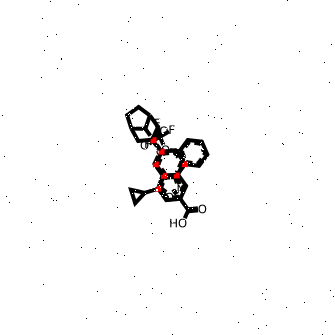 O=C(O)c1ccc2cc(S(=O)(=O)C3C4CCC3CC(OCc3c(-c5ccccc5OC(F)(F)F)noc3C3CC3)C4)ccc2c1